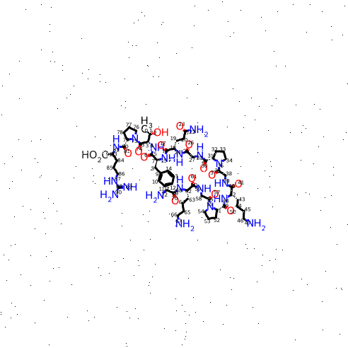 C[C@@H](O)[C@H](NC(=O)[C@H](Cc1ccccc1)NC(=O)[C@H](CCC(N)=O)NC(=O)CNC(=O)[C@@H]1CCCN1C(=O)CNC(=O)[C@H](CCCCN)NC(=O)[C@@H]1CCCN1C(=O)CNC(=O)[C@H](CCCCN)NC(=O)CN)C(=O)N1CCC[C@H]1C(=O)N[C@@H](CCCNC(=N)N)C(=O)O